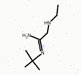 CCNC/C(N)=N/C(C)(C)C